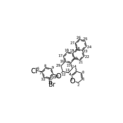 C1=CCOC=C1.Clc1ccc(OC2CCc3c(ccc4c3ccc3ccccc34)C2)c(Br)c1